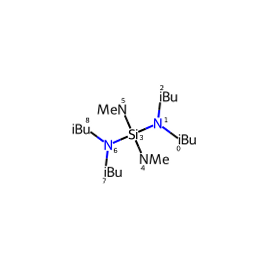 CCC(C)N(C(C)CC)[Si](NC)(NC)N(C(C)CC)C(C)CC